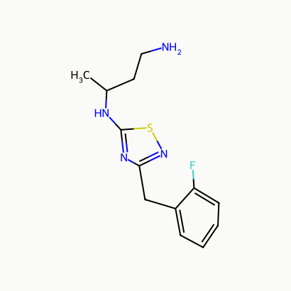 CC(CCN)Nc1nc(Cc2ccccc2F)ns1